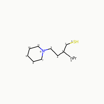 CCCC(CS)CCN1CCCCC1